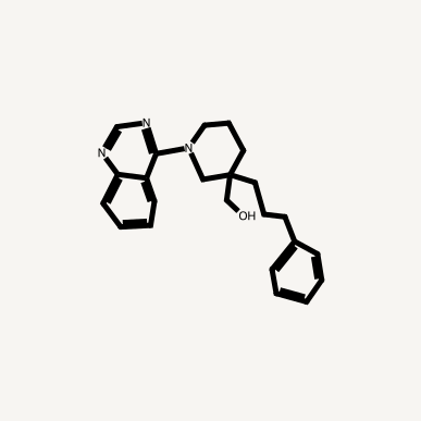 OCC1(CCCc2ccccc2)CCCN(c2ncnc3ccccc23)C1